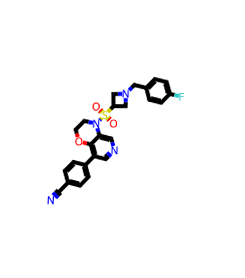 N#Cc1ccc(-c2cncc3c2OCCN3S(=O)(=O)C2CN(Cc3ccc(F)cc3)C2)cc1